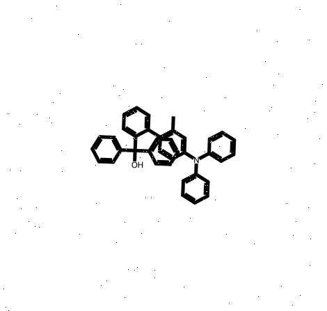 Cc1cc(N(c2ccccc2)c2ccccc2)ccc1-c1ccccc1C(O)(c1ccccc1)c1ccccc1